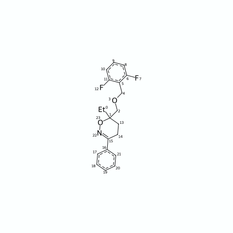 CCC1(COCc2c(F)cccc2F)CCC(c2ccccc2)=NO1